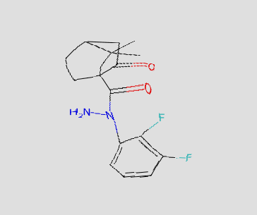 CC1(C)C2CCC1(C(=O)N(N)c1cccc(F)c1F)C(=O)C2